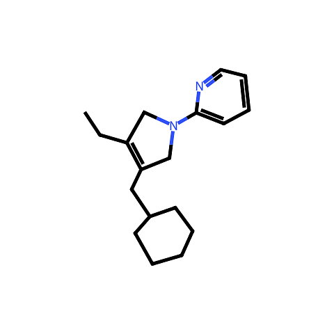 CCC1=C(CC2CCCCC2)CN(c2ccccn2)C1